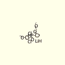 CCOCCOc1ccccc1PC(=O)c1c(Cl)cc(OCC)cc1Cl.[LiH]